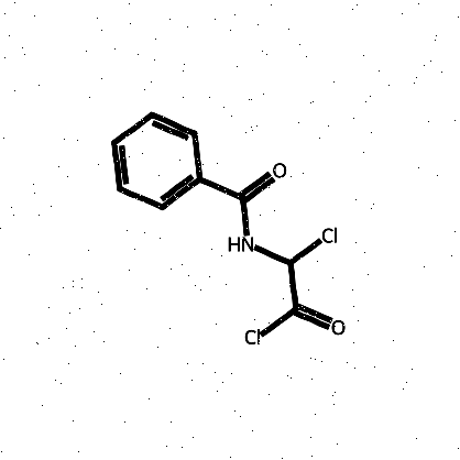 O=C(NC(Cl)C(=O)Cl)c1ccccc1